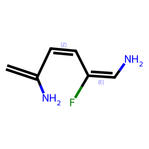 C=C(N)/C=C\C(F)=C/N